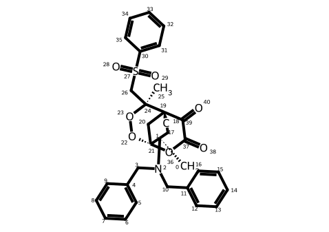 C[C@@]1(N(Cc2ccccc2)Cc2ccccc2)CC[C@@]23C[C@]1(OO[C@@]2(C)CS(=O)(=O)c1ccccc1)OC(=O)C3=O